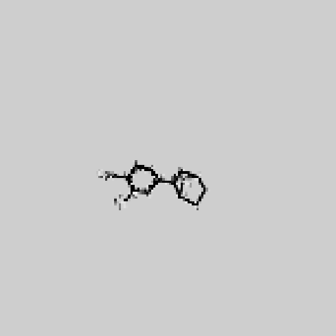 O=[N+]([O-])c1ccc(C2CC3CCC2N3)cc1C(F)(F)F